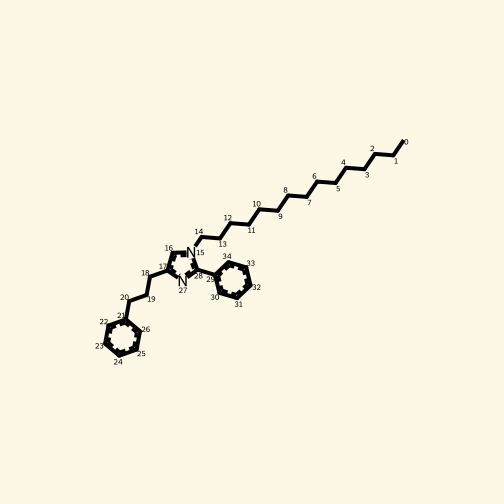 CCCCCCCCCCCCCCCn1cc(CCCc2ccccc2)nc1-c1ccccc1